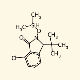 C[SiH](C)ON1C(=O)c2c(Cl)cccc2C1C(C)(C)C